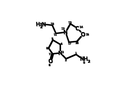 NCCN1CCCC1=O.NCCN1CCOCC1